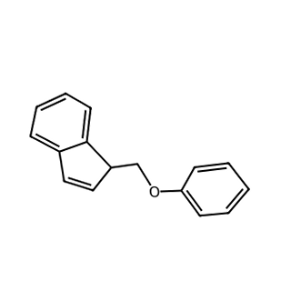 C1=CC(COc2ccccc2)c2ccccc21